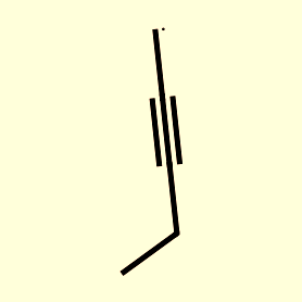 [CH2]C#CCC